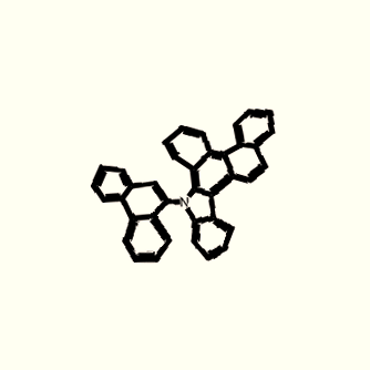 c1ccc2c(c1)cc(-n1c3ccccc3c3c4ccc5ccccc5c4c4ccccc4c31)c1ccccc12